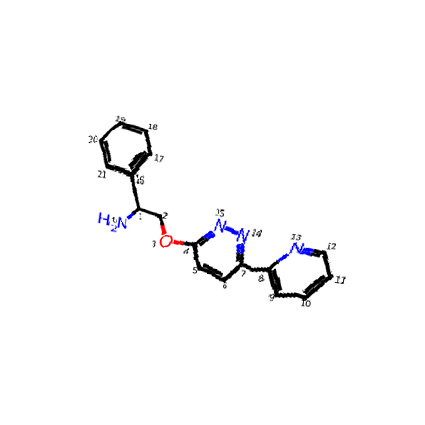 NC(COc1ccc(-c2ccccn2)nn1)c1ccccc1